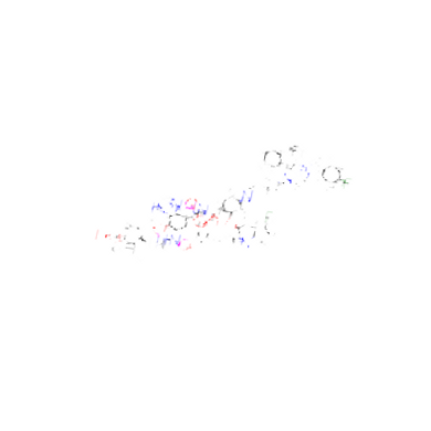 COc1nc2c(cc1Oc1cc(N3CCC4(CC3)CC(N3CCN(Cc5ccc(F)cc5)CC3c3ccccc3C(C)C)C4)ccc1C(=O)NS(=O)(=O)c1cc([NH+](C)[O-])c(OC[C@H]3CC[C@](C)(O)CC3)c3[nH]cnc13)C(F)=CC2